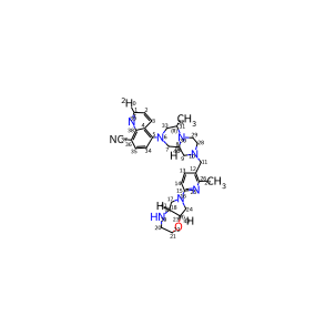 [2H]c1ccc2c(N3C[C@@H]4CN(Cc5ccc(N6C[C@H]7NCCO[C@@H]7C6)nc5C)CCN4[C@H](C)C3)ccc(C#N)c2n1